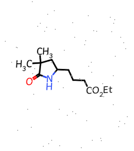 CCOC(=O)CCCC1CC(C)(C)C(=O)N1